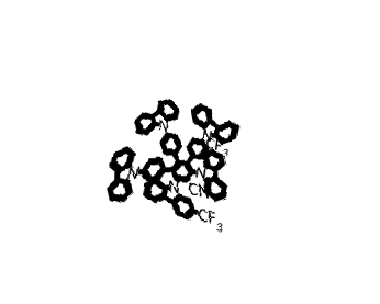 N#Cc1c(-n2c3ccccc3c3ccc(C(F)(F)F)cc32)c(-c2ccc(-n3c4ccccc4c4ccccc43)cc2)c(-c2ccc(-n3c4ccccc4c4ccccc43)cc2)c(-c2ccc(-n3c4ccccc4c4ccccc43)cc2)c1-n1c2ccccc2c2ccc(C(F)(F)F)cc21